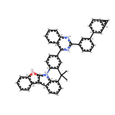 CC1(C)c2cc(-c3nc(-c4cccc(-c5ccc6c(c5)=C=6)c4)nc4ccccc34)ccc2-n2c3oc4ccccc4c3c3cccc1c32